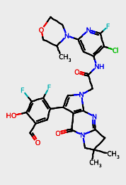 CC1COCCN1c1cc(NC(=O)Cn2cc(-c3cc(C=O)c(O)c(F)c3F)c3c(=O)n4c(nc32)CC(C)(C)C4)c(Cl)c(F)n1